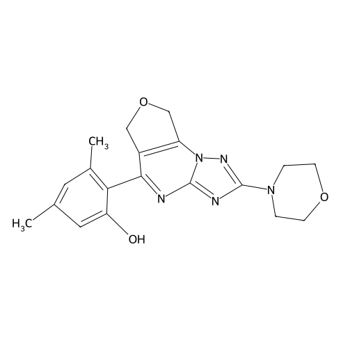 Cc1cc(C)c(-c2nc3nc(N4CCOCC4)nn3c3c2COC3)c(O)c1